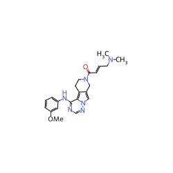 COc1cccc(Nc2ncnn3cc4c(c23)CCN(C(=O)/C=C/CN(C)C)C4)c1